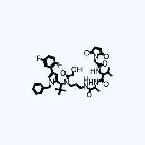 CC(NC(=O)C(NC(=O)CN1C(=O)C=CC1=O)C(C)C)C(=O)NCCCN(C(=O)CO)C(c1cc(-c2cc(F)ccc2F)cn1Cc1ccccc1)C(C)(C)C